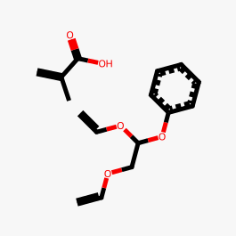 C=C(C)C(=O)O.C=COCC(OC=C)Oc1ccccc1